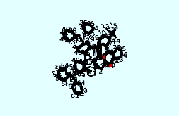 Cc1cc2c3c(c1)N(c1ccc(C(C)(C)C)cc1-c1cccc4ccccc14)c1cc(N(c4ccccc4)c4ccccc4)ccc1B3c1ccc(N(c3ccccc3)c3ccccc3)cc1O2